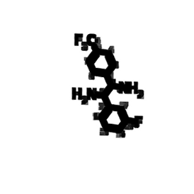 NC(c1ccc(C(F)(F)F)cc1)C(N)c1cccc(F)c1